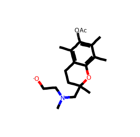 CC(=O)Oc1c(C)c(C)c2c(c1C)CCC(C)(CN(C)CC[O])O2